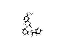 CC1=Cc2cc(C(=O)O)ccc2NC1c1ccccc1NC(=O)c1ccccn1